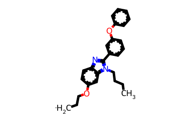 [CH2]CCOc1ccc2nc(-c3cccc(Oc4ccccc4)c3)n(CCCC)c2c1